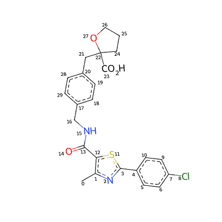 Cc1nc(-c2ccc(Cl)cc2)sc1C(=O)NCc1ccc(CC2(C(=O)O)CCCO2)cc1